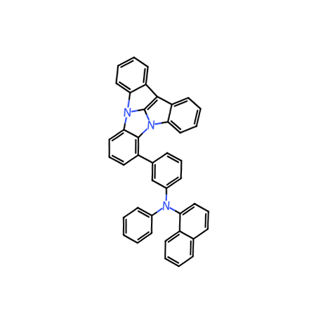 c1ccc(N(c2cccc(-c3cccc4c3n3c5ccccc5c5c6ccccc6n4c53)c2)c2cccc3ccccc23)cc1